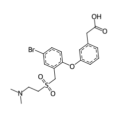 CN(C)CCS(=O)(=O)Cc1cc(Br)ccc1Oc1cccc(CC(=O)O)c1